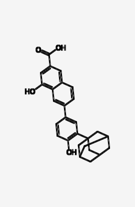 O=C(O)c1cc(O)c2cc(-c3ccc(O)c(C45CC6CC(CC(C6)C4)C5)c3)ccc2c1